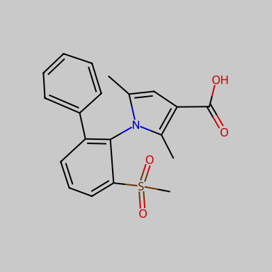 Cc1cc(C(=O)O)c(C)n1-c1c(-c2ccccc2)cccc1S(C)(=O)=O